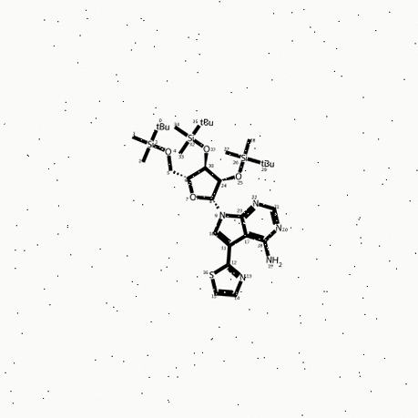 CC(C)(C)[Si](C)(C)OC[C@H]1O[C@@H](n2cc(-c3nccs3)c3c(N)ncnc32)[C@H](O[Si](C)(C)C(C)(C)C)[C@@H]1O[Si](C)(C)C(C)(C)C